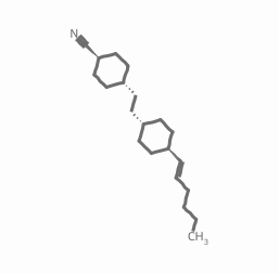 CCCCC=C[C@H]1CC[C@H](CC[C@H]2CC[C@H](C#N)CC2)CC1